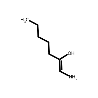 CCCCCC(O)=CN